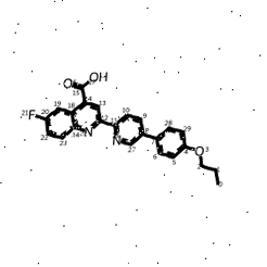 CCCOc1ccc(-c2ccc(-c3cc(C(=O)O)c4cc(F)ccc4n3)nc2)cc1